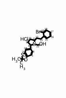 CC1(C)Oc2ccc(C3CCC(CCc4ccccc4Br)N3CO)cc2S1.Cl